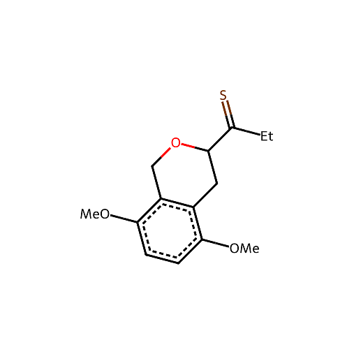 CCC(=S)C1Cc2c(OC)ccc(OC)c2CO1